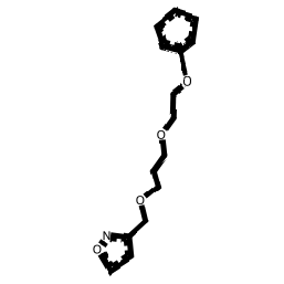 c1ccc(OCCOCCCOCc2ccon2)cc1